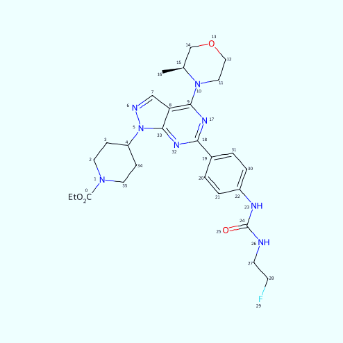 CCOC(=O)N1CCC(n2ncc3c(N4CCOC[C@@H]4C)nc(-c4ccc(NC(=O)NCCF)cc4)nc32)CC1